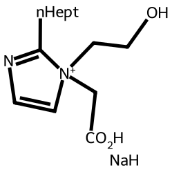 CCCCCCCC1=NC=C[N+]1(CCO)CC(=O)O.[NaH]